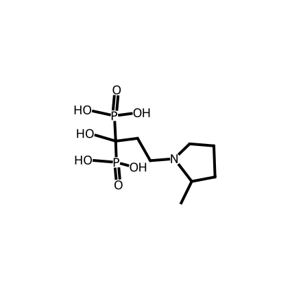 CC1CCCN1CCC(O)(P(=O)(O)O)P(=O)(O)O